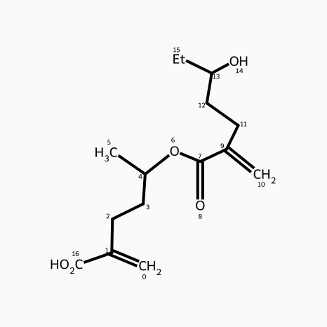 C=C(CCC(C)OC(=O)C(=C)CCC(O)CC)C(=O)O